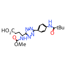 COC(=O)NC(CCC(=O)O)c1nnc(-c2ccc(NC(=O)C(C)(C)C)cc2)nn1